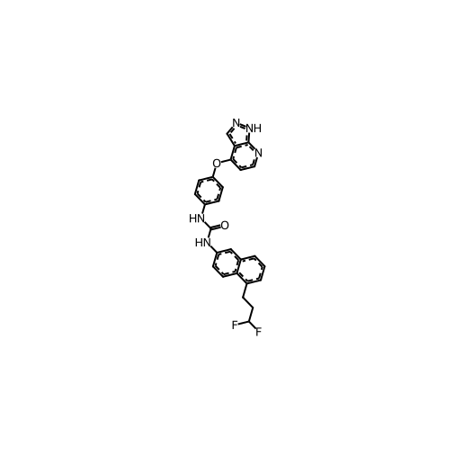 O=C(Nc1ccc(Oc2ccnc3[nH]ncc23)cc1)Nc1ccc2c(CCC(F)F)cccc2c1